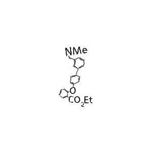 CCOC(=O)c1ccccc1Oc1ccc(-c2cccc(CNC)c2)cc1